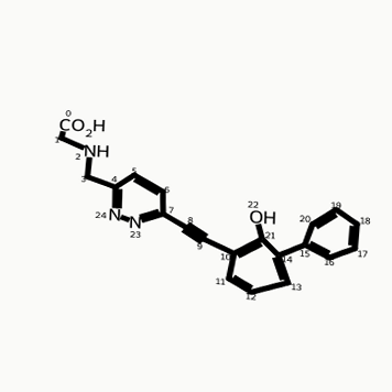 O=C(O)CNCc1ccc(C#Cc2cccc(-c3ccccc3)c2O)nn1